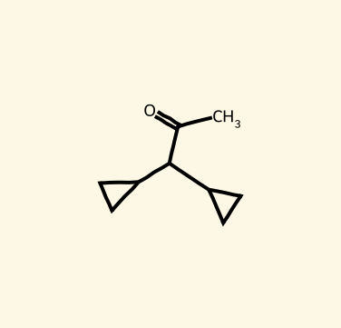 CC(=O)C(C1CC1)C1CC1